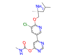 CNC(=O)Oc1cc(-c2cnc(OC[C@@](C)(N)CC(C)C)c(Cl)c2)ncn1